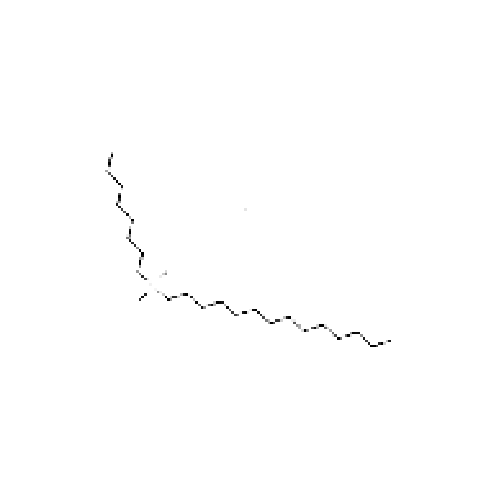 CCCCCCCCCCCCCC[N+](C)(C)CCCCCCCC.[Cl-]